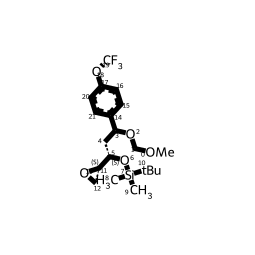 COCOC(C[C@H](O[Si](C)(C)C(C)(C)C)[C@@H]1CO1)c1ccc(OC(F)(F)F)cc1